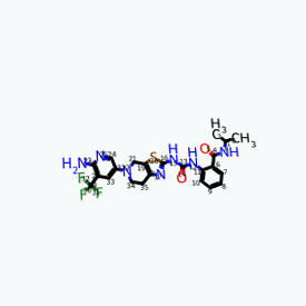 CC(C)NC(=O)c1ccccc1NC(=O)Nc1nc2c(s1)CN(c1cnc(N)c(C(F)(F)F)c1)CC2